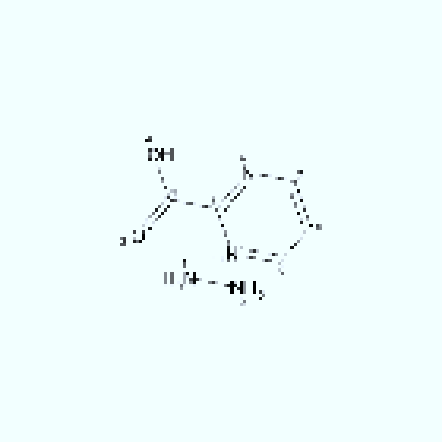 NN.O=C(O)c1ncccn1